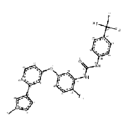 Cn1ccc(-c2cc(Oc3ccc(F)c(NC(=O)Nc4ccc(C(F)(F)F)cc4)c3)ccn2)c1